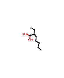 CCCCCC(CC)C(O)O